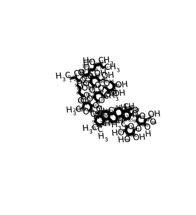 CC[C@H](C)[C@H](C[C@H](O)CC(=O)O[C@@H]1C[C@@H](O[C@@H]2O[C@@H](C)[C@H](O[C@@H]3OC[C@@H](O)[C@H](O)[C@H]3O)[C@@H](O[C@@H]3O[C@H](CO)[C@@H](O)[C@H](O)[C@H]3O)[C@H]2O)[C@H](OC(=O)[C@]23CCC(C)(C)C[C@H]2C2=CC[C@@H]4[C@@]5(C)CC[C@H](O[C@H]6C[C@@H](O[C@@H]7O[C@@H](C)[C@H](O)[C@@H](O)[C@H]7O)[C@H](O)[C@@H](C(=O)O)O6)[C@@](C)(C=O)[C@@H]5CC[C@@]4(C)[C@]2(C)CC3)O[C@@H]1C)OC(=O)C[C@@H](O)C[C@H](O)[C@@H](C)CC